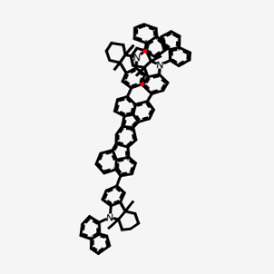 CC12CCCCC1(C)N(c1cccc3ccccc13)c1ccc(-c3ccc4c5cc6c(cc5c5cccc3c54)c3ccc(-c4ccc5c(c4)C4(C)CCCCC4(C)N5c4cccc5ccccc45)c4c(-c5ccc7c(c5)C5(C)CCCCC5(C)N7c5cccc7ccccc57)ccc6c43)cc12